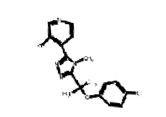 Cn1c(-c2ccncc2Cl)nnc1C(C)(C)Oc1ccc(Cl)cc1